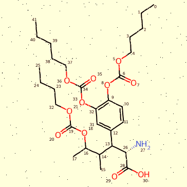 CCCCCOC(=O)Oc1ccc(C(C(C)C(C)OC(=O)OCCCC)[C@H](N)C(=O)O)cc1OC(=O)OCCCCC